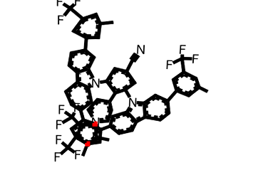 Cc1cc(-c2ccc3c4ccc(-c5cc(C)cc(C(F)(F)F)c5)cc4n(-c4cc(C#N)cc(-n5c6cc(-c7cc(C)cc(C(F)(F)F)c7)ccc6c6ccc(-c7cc(C)cc(C(F)(F)F)c7)cc65)c4-c4ccncc4)c3c2)cc(C(F)(F)F)c1